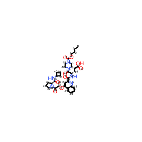 CCCCOC(=O)N1CCN(C(=O)[C@H](CCC(=O)O)NC(=O)c2cc(OCC(=O)N3CCC[C@H]3C(=O)NC3CCC3)c3ccccc3n2)CC1